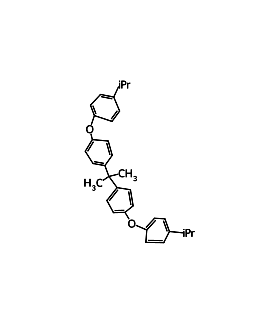 CC(C)c1ccc(Oc2ccc(C(C)(C)c3ccc(Oc4ccc(C(C)C)cc4)cc3)cc2)cc1